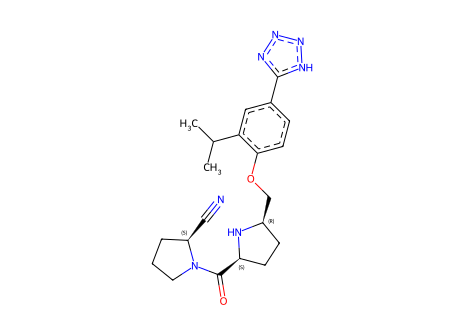 CC(C)c1cc(-c2nnn[nH]2)ccc1OC[C@H]1CC[C@@H](C(=O)N2CCC[C@H]2C#N)N1